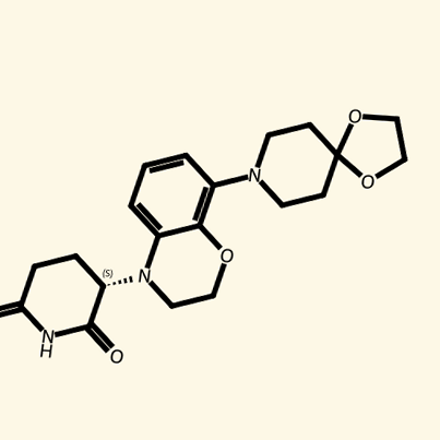 O=C1CC[C@H](N2CCOc3c(N4CCC5(CC4)OCCO5)cccc32)C(=O)N1